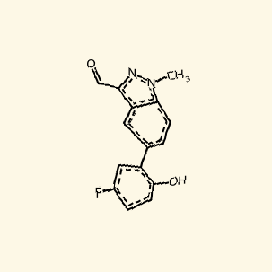 Cn1nc(C=O)c2cc(-c3cc(F)ccc3O)ccc21